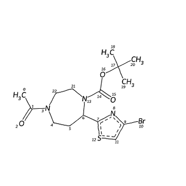 CC(=O)N1CCC(c2nc(Br)cs2)N(C(=O)OC(C)(C)C)CC1